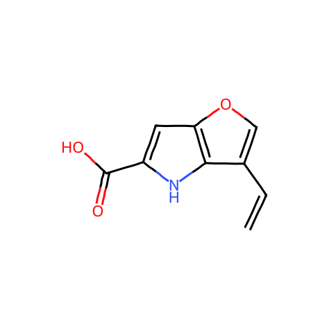 C=Cc1coc2cc(C(=O)O)[nH]c12